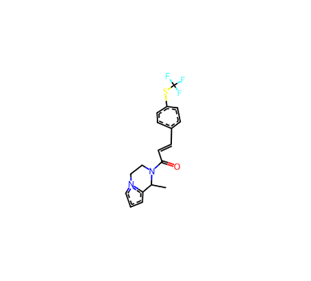 CC1c2cccn2CCN1C(=O)/C=C/c1ccc(SC(F)(F)F)cc1